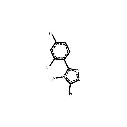 CC(C)c1nnc(-c2ccc(Cl)cc2Cl)n1N